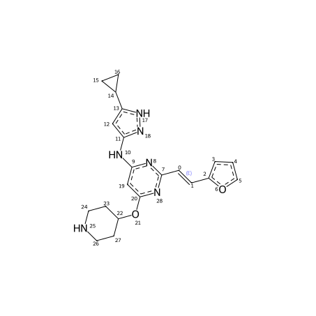 C(=C\c1ccco1)/c1nc(Nc2cc(C3CC3)[nH]n2)cc(OC2CCNCC2)n1